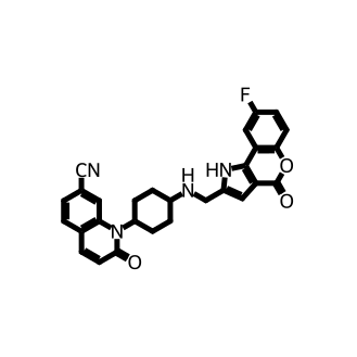 N#Cc1ccc2ccc(=O)n(C3CCC(NCc4cc5c(=O)oc6ccc(F)cc6c5[nH]4)CC3)c2c1